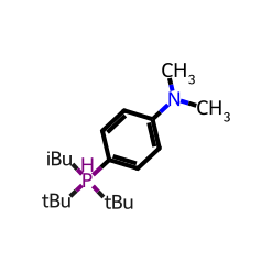 CCC(C)[PH](c1ccc(N(C)C)cc1)(C(C)(C)C)C(C)(C)C